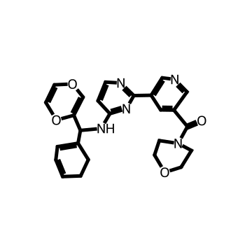 O=C(c1cncc(-c2nccc(NC(C3=CC=CCC3)C3=COC=CO3)n2)c1)N1CCOCC1